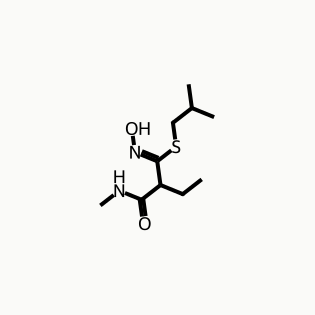 CCC(C(=O)NC)C(=NO)SCC(C)C